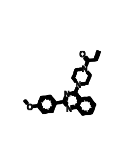 C=CC(=O)N1CCN(c2nc(-c3ccc(OC)cc3)nc3ccccc23)CC1